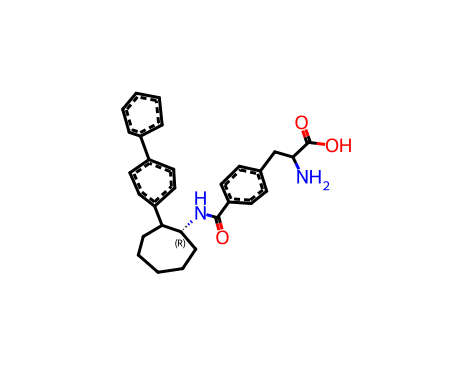 NC(Cc1ccc(C(=O)N[C@@H]2CCCCCC2c2ccc(-c3ccccc3)cc2)cc1)C(=O)O